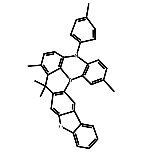 Cc1ccc(N2c3ccc(C)cc3B3c4cc5c(cc4C(C)(C)c4c(C)ccc2c43)oc2ccccc25)cc1